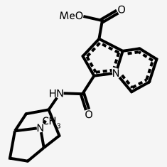 COC(=O)c1cc(C(=O)NC2CC3CCC(C2)N3C)n2ccccc12